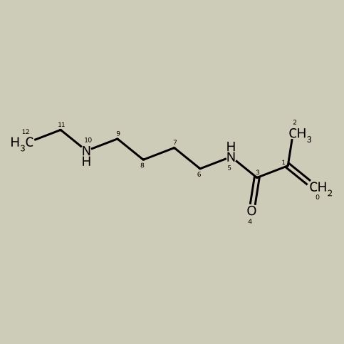 C=C(C)C(=O)NCCCCNCC